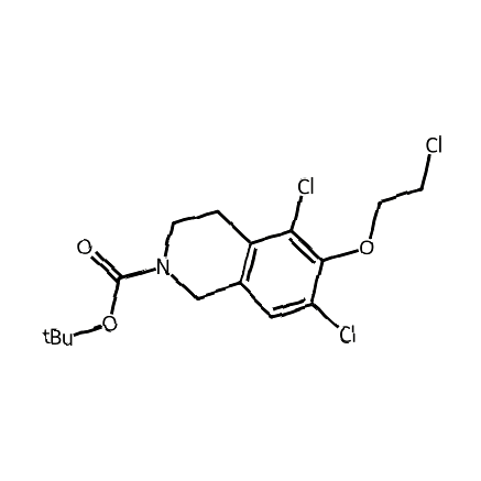 CC(C)(C)OC(=O)N1CCc2c(cc(Cl)c(OCCCl)c2Cl)C1